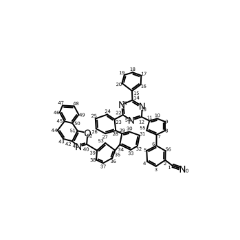 N#Cc1cccc(-c2cccc(-c3nc(-c4ccccc4)nc(-c4ccccc4-c4ccccc4-c4cccc(-c5nc6ccc7ccccc7c6o5)c4)n3)c2)c1